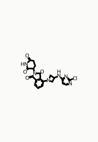 O=C1CCC(N2C(=O)c3cccc(N4CC(Nc5ccnc(Cl)n5)C4)c3C2=O)C(=O)N1